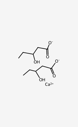 CCC(O)CC(=O)[O-].CCC(O)CC(=O)[O-].[Ca+2]